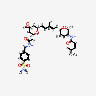 CC(=O)OC(C)/C=C\C(=O)N[C@@H]1C[C@H](C)[C@H](C/C=C(C)/C=C/[C@@H]2C[C@]3(CO3)C[C@@H](CC(=O)NCc3ccc(S(=O)(=O)N(C)C)cc3)O2)O[C@@H]1C